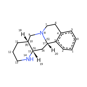 c1ccc2c(c1)CCN1C[C@H]3CCCN[C@H]3C[C@@H]21